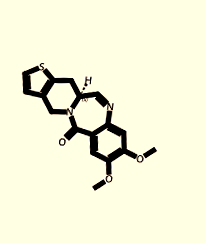 COc1cc2c(cc1OC)C(=O)N1Cc3ccsc3C[C@H]1C=N2